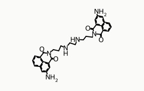 Nc1cc2c3c(cccc3c1)C(=O)N(CCCNCCNCCCN1C(=O)c3cccc4cc(N)cc(c34)C1=O)C2=O